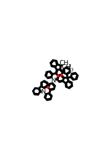 CC1(C)c2ccccc2-c2c(-c3ccccc3N(c3ccc(-c4ccccc4-n4c5c(c6ccccc64)CCC=C5)cc3)c3ccc4c(c3)-c3ccccc3C4(c3ccccc3)c3ccccc3)cccc21